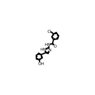 O=C(Nc1ncc(-c2cccc(O)c2)[nH]1)c1cccc(Cl)c1